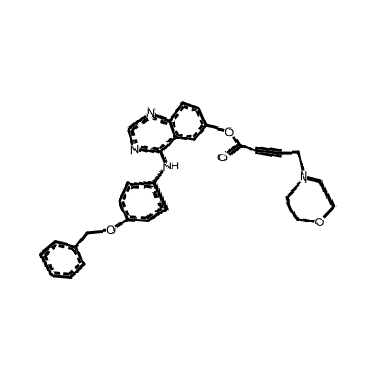 O=C(C#CCN1CCOCC1)Oc1ccc2ncnc(Nc3ccc(OCc4ccccc4)cc3)c2c1